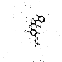 Cc1cc(Oc2snc(-c3ccccc3C)c2C#N)c(Cl)cc1N=CN(C)C